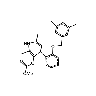 COC(=O)OC1=C(C)NC(C)=CC1c1ccccc1OCc1cc(C)cc(C)c1